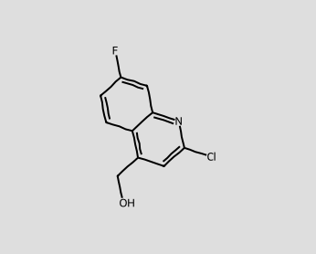 OCc1cc(Cl)nc2cc(F)ccc12